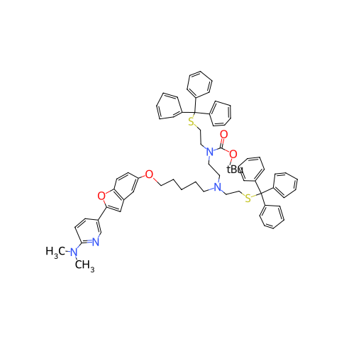 CN(C)c1ccc(-c2cc3cc(OCCCCCN(CCSC(c4ccccc4)(c4ccccc4)c4ccccc4)CCN(CCSC(c4ccccc4)(c4ccccc4)c4ccccc4)C(=O)OC(C)(C)C)ccc3o2)cn1